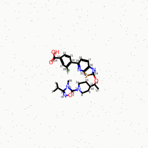 CC(C)C1=NOC(N2CCC(C(C)Oc3nc4ccc(-c5ccc(C(=O)O)cc5F)nc4s3)CC2)N1C